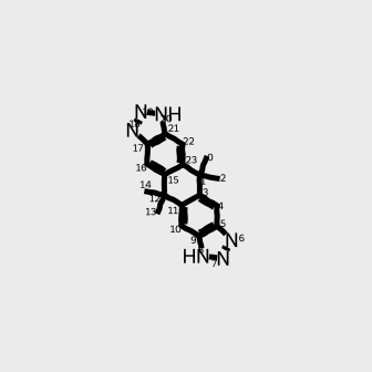 CC1(C)c2cc3nn[nH]c3cc2C(C)(C)c2cc3nn[nH]c3cc21